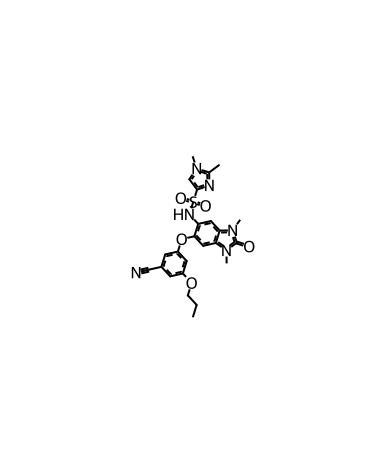 CCCOc1cc(C#N)cc(Oc2cc3c(cc2NS(=O)(=O)c2cn(C)c(C)n2)n(C)c(=O)n3C)c1